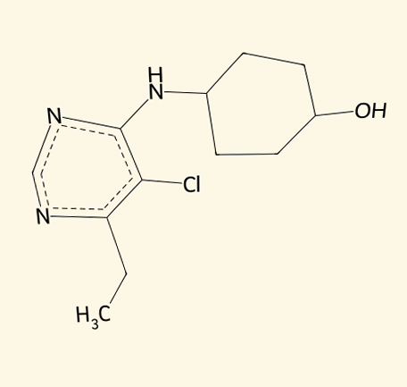 CCc1ncnc(NC2CCC(O)CC2)c1Cl